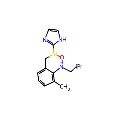 Cc1cccc(C[S+]([O-])c2ncc[nH]2)c1NCC(C)C